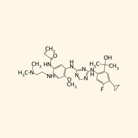 C=CC(=O)Nc1cc(Nc2ncnc(Nc3cc(F)c(C4CC4)cc3C(C)(C)O)n2)c(OC)cc1NCCN(C)C